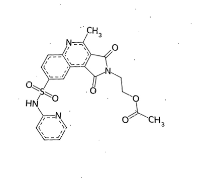 CC(=O)OCCN1C(=O)c2c(C)nc3ccc(S(=O)(=O)Nc4ccccn4)cc3c2C1=O